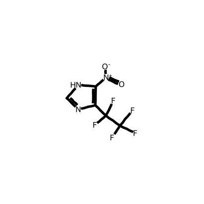 O=[N+]([O-])c1[nH]cnc1C(F)(F)C(F)(F)F